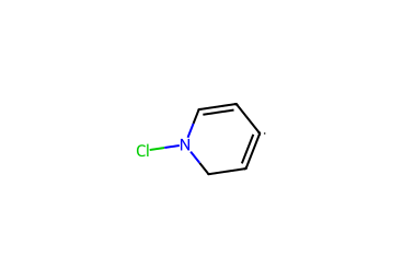 ClN1C=C[C]=CC1